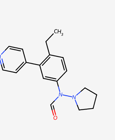 CCc1ccc(N(C=O)N2CCCC2)cc1-c1ccncc1